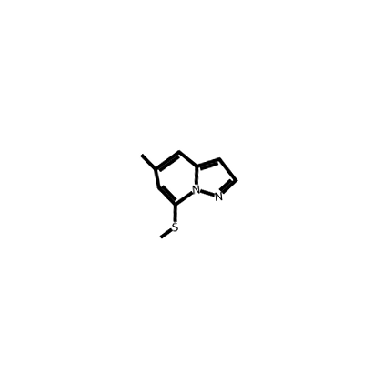 CSc1cc(C)cc2ccnn12